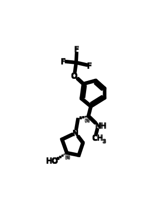 CN[C@H](CN1CC[C@H](O)C1)c1cccc(OC(F)(F)F)c1